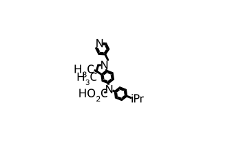 CC(C)c1ccc(N(C(=O)O)c2ccc3c(c2)C(C)(C)CN3Cc2ccncc2)cc1